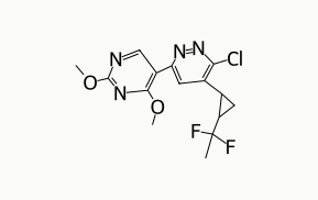 COc1ncc(-c2cc(C3CC3C(C)(F)F)c(Cl)nn2)c(OC)n1